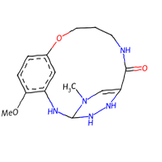 COc1ccc2cc1NC1NNC(=CN1C)C(=O)NCCCO2